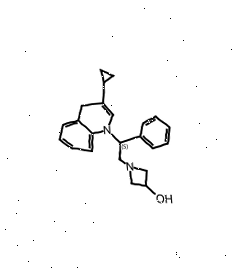 OC1CN(C[C@H](c2ccccc2)N2C=C(C3CC3)Cc3ccccc32)C1